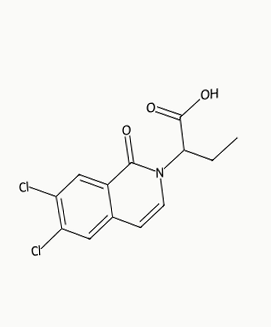 CCC(C(=O)O)n1ccc2cc(Cl)c(Cl)cc2c1=O